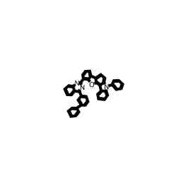 c1ccc(-c2cccc(-c3nc(-c4cccc5c4oc4c5ccc5c4c4ccccc4n5-c4ccccc4)nc4ccccc34)c2)cc1